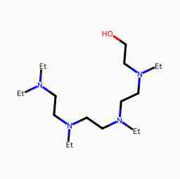 CCN(CC)CCN(CC)CCN(CC)CCN(CC)CCO